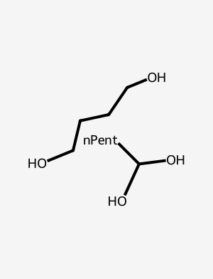 CCCCCC(O)O.OCCCCO